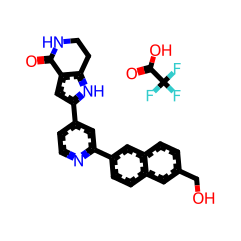 O=C(O)C(F)(F)F.O=C1NCCc2[nH]c(-c3ccnc(-c4ccc5cc(CO)ccc5c4)c3)cc21